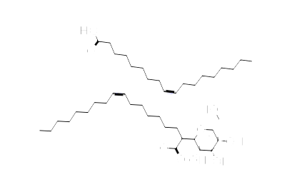 CCCCCCCC/C=C\CCCCCCC(C(=O)O)C1O[C@H](CO)[C@@H](O)[C@@H](O)[C@@H]1O.CCCCCCCC/C=C\CCCCCCCC(=O)O